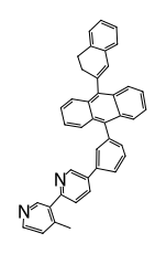 Cc1ccncc1-c1ccc(-c2cccc(-c3c4ccccc4c(C4=Cc5ccccc5CC4)c4ccccc34)c2)cn1